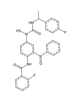 CC(NC(=O)N(S)c1ccc(NC(=O)c2ccccc2F)c(C(=O)c2ccccc2)c1)c1ccc(F)cc1